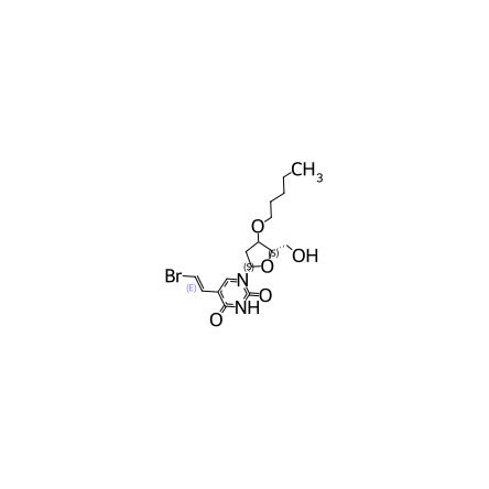 CCCCCOC1C[C@@H](n2cc(/C=C/Br)c(=O)[nH]c2=O)O[C@H]1CO